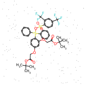 CC(C)(C)OC(=O)COc1ccc(S(OS(=O)(=O)c2ccc(C(F)(F)F)cc2C(F)(F)F)(c2ccccc2)c2ccccc2)c(OCC(=O)OC(C)(C)C)c1